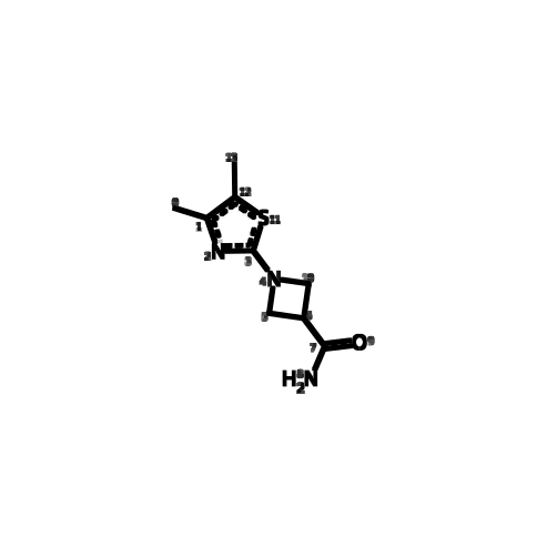 Cc1nc(N2CC(C(N)=O)C2)sc1C